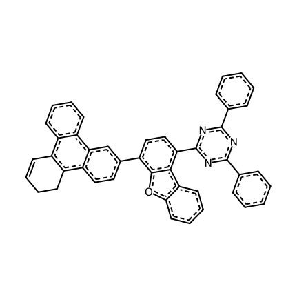 C1=Cc2c(c3ccc(-c4ccc(-c5nc(-c6ccccc6)nc(-c6ccccc6)n5)c5c4oc4ccccc45)cc3c3ccccc23)CC1